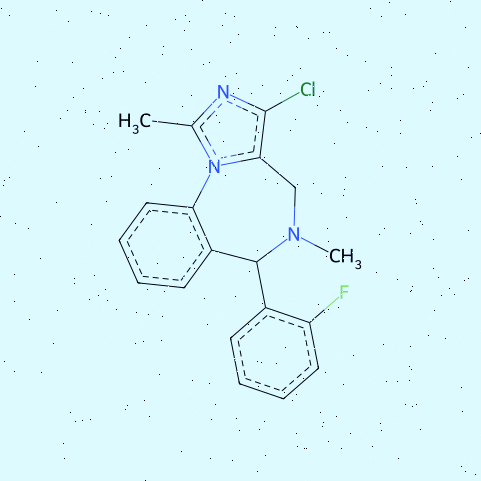 Cc1nc(Cl)c2n1-c1ccccc1C(c1ccccc1F)N(C)C2